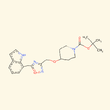 CC(C)(C)OC(=O)N1CCC(OCc2noc(-c3cccc4cc[nH]c34)n2)CC1